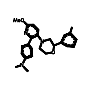 COc1ccc(N2CCOC(c3cccc(C)c3)C2)c(-c2ccc(N(C)C)cc2)n1